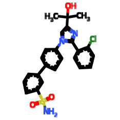 CC(C)(O)c1cn(-c2ccc(-c3cccc(S(N)(=O)=O)c3)cc2)c(-c2ccccc2Cl)n1